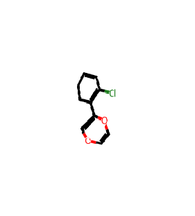 ClC1=C(C2=COC=CO2)CCC=C1